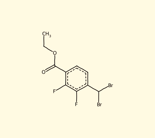 CCOC(=O)c1ccc(C(Br)Br)c(F)c1F